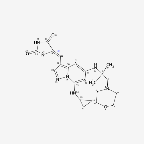 CC(C)(CN1CCOCC1)Nc1nc(NC2CC2)n2ncc(/C=C3\NC(=O)NC3=O)c2n1